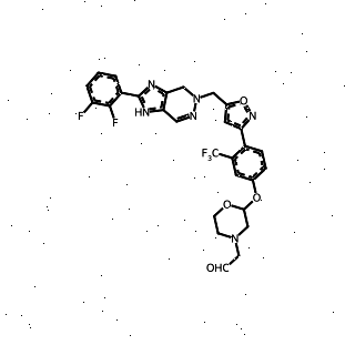 O=CCN1CCOC(Oc2ccc(-c3cc(CN4Cc5nc(-c6cccc(F)c6F)[nH]c5C=N4)on3)c(C(F)(F)F)c2)C1